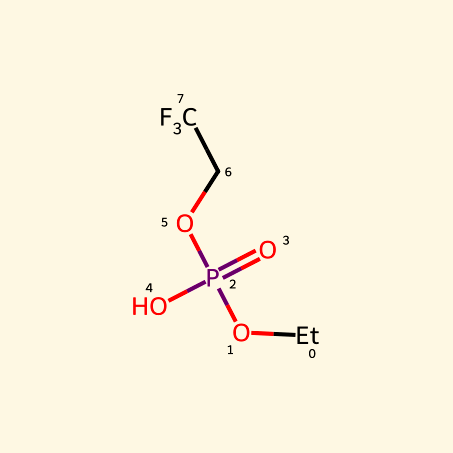 CCOP(=O)(O)OCC(F)(F)F